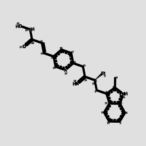 CC[C@H](Cc1c(C)[nH]c2ccccc12)C(=N)Cc1ccc(C=CC(=O)NO)cn1